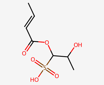 CC=CC(=O)OC(C(C)O)S(=O)(=O)O